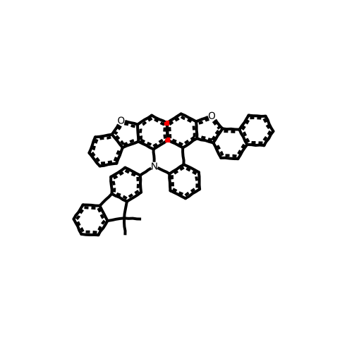 CC1(C)c2ccccc2-c2ccc(N(c3ccccc3-c3cccc4oc5c6ccccc6ccc5c34)c3cccc4oc5ccccc5c34)cc21